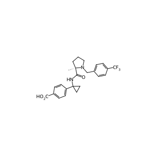 C[C@]1(C(=O)NC2(c3ccc(C(=O)O)cc3)CC2)CCCN1Cc1ccc(C(F)(F)F)cc1